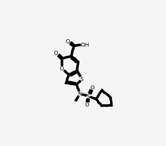 CN(c1cc2oc(=O)c(C(=O)O)cc2s1)S(=O)(=O)C1CCCC1